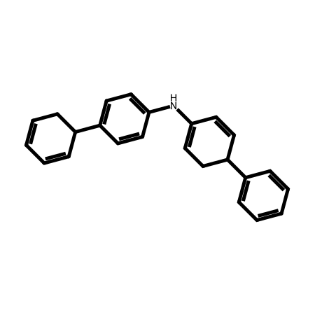 C1=CCC(c2ccc(NC3=CCC(c4ccccc4)C=C3)cc2)C=C1